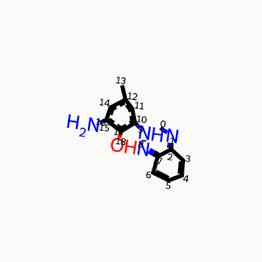 C/N=C1/C=CC=C/C1=N/Nc1cc(C)cc(N)c1O